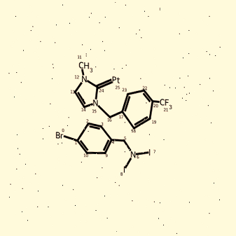 Brc1ccc(CN(I)I)cc1.Cn1ccn(Cc2ccc(C(F)(F)F)cc2)[c]1=[Pt]